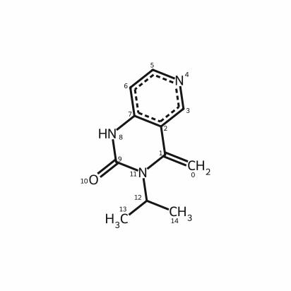 C=C1c2cnccc2NC(=O)N1C(C)C